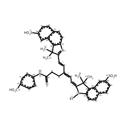 CCN1/C(=C/C=C(/C=C/C2=Nc3ccc4ccc(S(=O)(=O)O)cc4c3C2(C)C)CCC(=O)Nc2ccc(C(=O)O)cc2)C(C)(C)c2c1ccc1ccc(S(=O)(=O)O)cc21